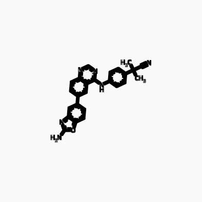 CC(C)(C#N)c1ccc(Nc2ncnc3ccc(-c4ccc5oc(N)nc5c4)cc23)cc1